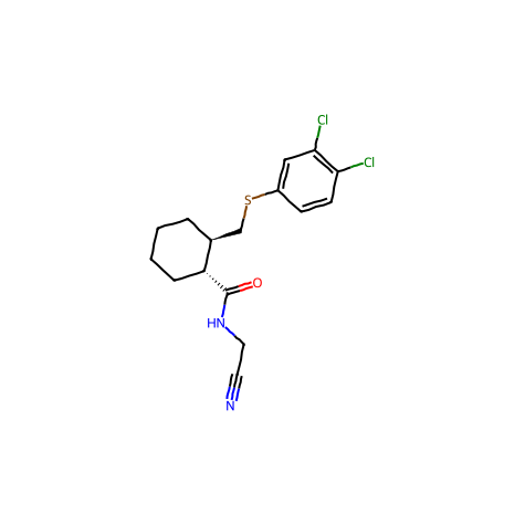 N#CCNC(=O)[C@@H]1CCCC[C@H]1CSc1ccc(Cl)c(Cl)c1